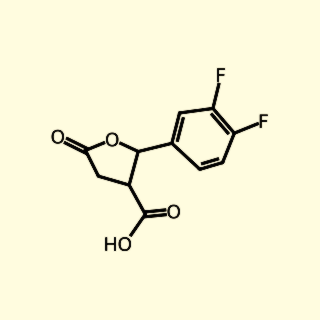 O=C1CC(C(=O)O)C(c2ccc(F)c(F)c2)O1